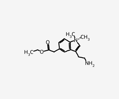 CCOC(=O)Cc1ccc2c(c1)C(CCN)=C[N+]2(C)C